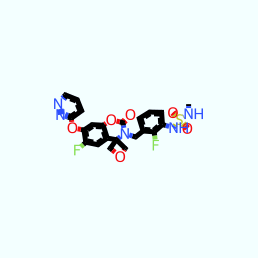 CNS(=O)(=O)Nc1cccc(CN2C(=O)Oc3cc(Oc4cccnn4)c(F)cc3C23COC3)c1F